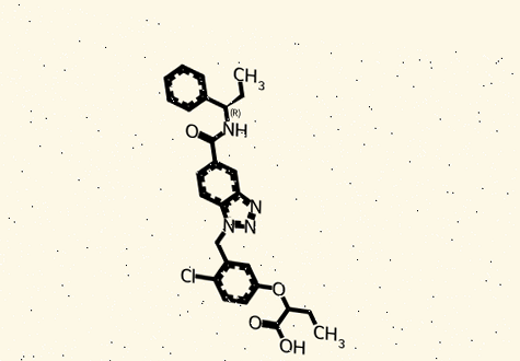 CCC(Oc1ccc(Cl)c(Cn2nnc3cc(C(=O)N[C@H](CC)c4ccccc4)ccc32)c1)C(=O)O